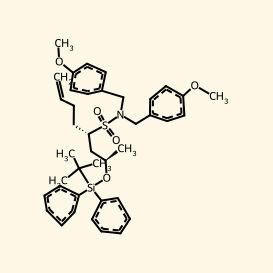 C=CCC[C@@H](C[C@@H](C)O[Si](c1ccccc1)(c1ccccc1)C(C)(C)C)S(=O)(=O)N(Cc1ccc(OC)cc1)Cc1ccc(OC)cc1